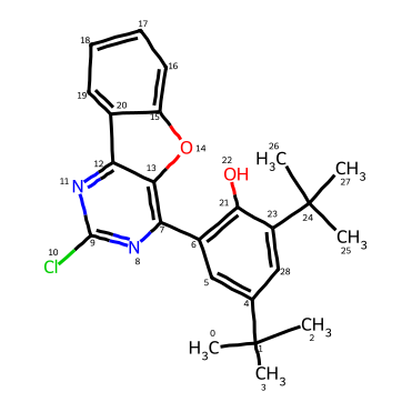 CC(C)(C)c1cc(-c2nc(Cl)nc3c2oc2ccccc23)c(O)c(C(C)(C)C)c1